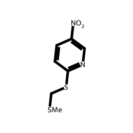 CSCSc1ccc([N+](=O)[O-])cn1